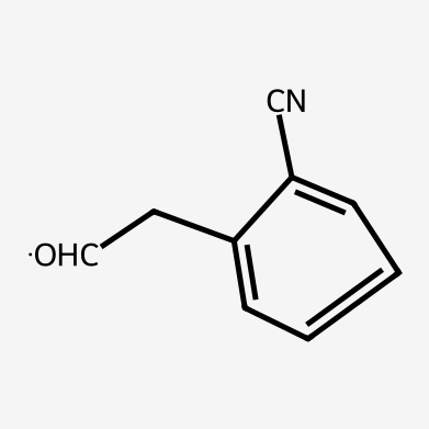 N#Cc1ccccc1C[C]=O